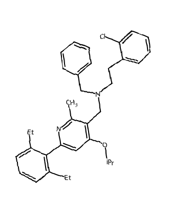 CCc1cccc(CC)c1-c1cc(OC(C)C)c(CN(CCc2ccccc2Cl)Cc2ccccc2)c(C)n1